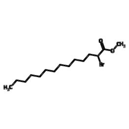 CCCCCCCCCCCCC(Br)C(=O)OC